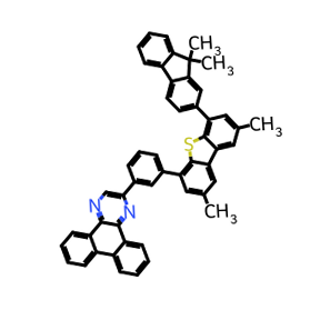 Cc1cc(-c2cccc(-c3cnc4c5ccccc5c5ccccc5c4n3)c2)c2sc3c(-c4ccc5c(c4)C(C)(C)c4ccccc4-5)cc(C)cc3c2c1